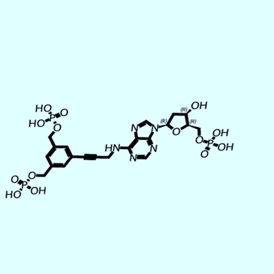 O=P(O)(O)OCc1cc(C#CCNc2ncnc3c2ncn3[C@H]2C[C@@H](O)[C@@H](COP(=O)(O)O)O2)cc(COP(=O)(O)O)c1